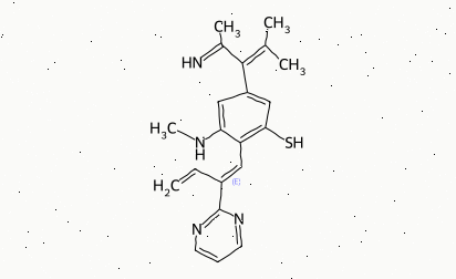 C=C/C(=C\c1c(S)cc(C(C(C)=N)=C(C)C)cc1NC)c1ncccn1